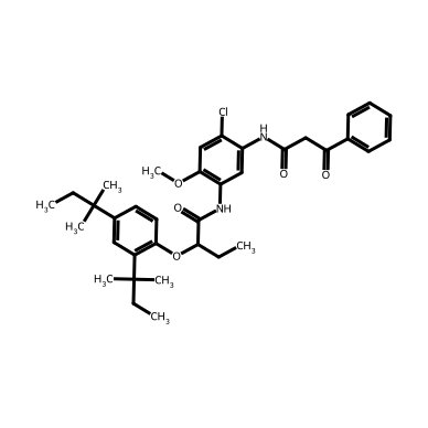 CCC(Oc1ccc(C(C)(C)CC)cc1C(C)(C)CC)C(=O)Nc1cc(NC(=O)CC(=O)c2ccccc2)c(Cl)cc1OC